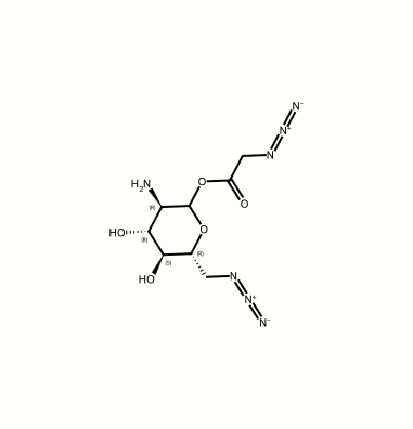 [N-]=[N+]=NCC(=O)OC1O[C@H](CN=[N+]=[N-])[C@@H](O)[C@H](O)[C@H]1N